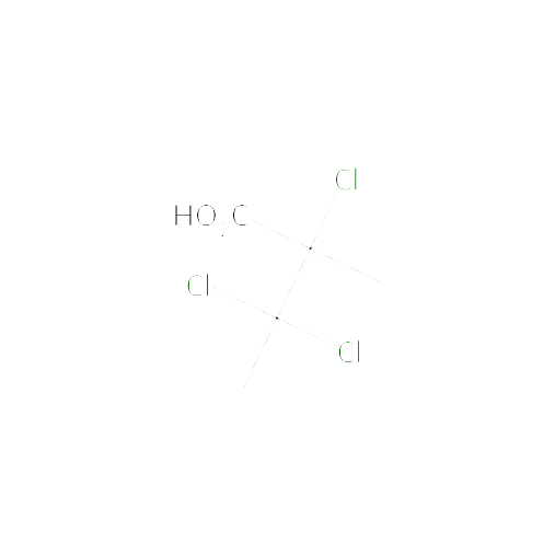 CC(Cl)(Cl)C(C)(Cl)C(=O)O